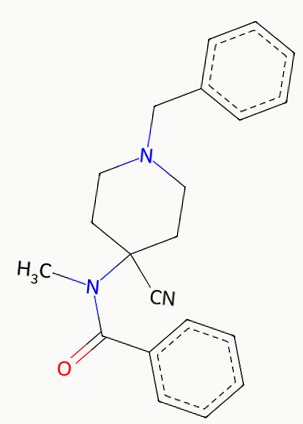 CN(C(=O)c1ccccc1)C1(C#N)CCN(Cc2ccccc2)CC1